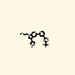 COCCn1cc(-c2cn[nH]c2)c2cc(-c3cc(-c4noc(C(F)(F)F)n4)ccn3)ncc21